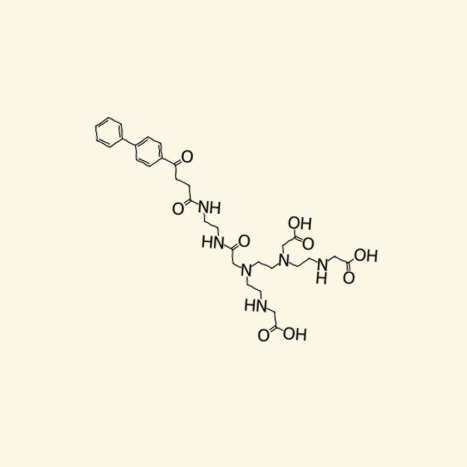 O=C(O)CNCCN(CCN(CCNCC(=O)O)CC(=O)NCCNC(=O)CCC(=O)c1ccc(-c2ccccc2)cc1)CC(=O)O